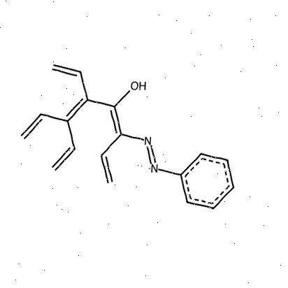 C=CC(C=C)=C(C=C)/C(O)=C(C=C)/N=N/c1ccccc1